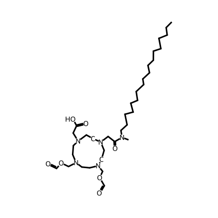 CCCCCCCCCCCCCCCCCCN(C)C(=O)CN1CCN(COC=O)CCN(COC=O)CCN(CC(=O)O)CC1